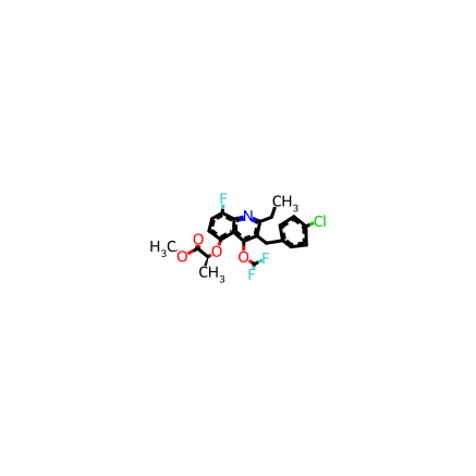 CCc1nc2c(F)ccc(O[C@@H](C)C(=O)OC)c2c(OC(F)F)c1Cc1ccc(Cl)cc1